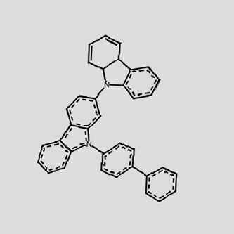 C1=CC2c3ccccc3N(c3ccc4c5ccccc5n(-c5ccc(-c6ccccc6)cc5)c4c3)C2C=C1